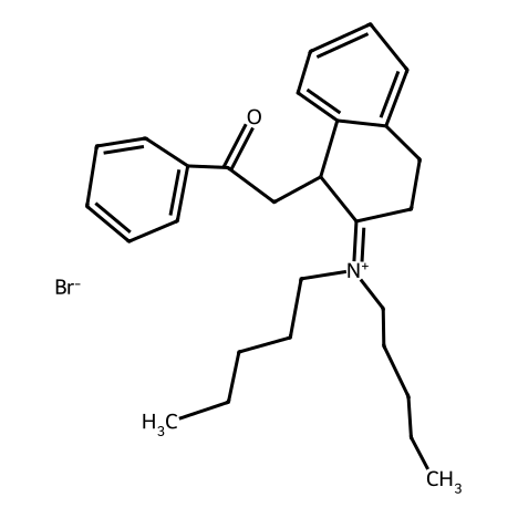 CCCCC[N+](CCCCC)=C1CCc2ccccc2C1CC(=O)c1ccccc1.[Br-]